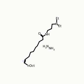 CCCCCCCC/C=C\CCCCCCCC(=O)NCCCN(CC)CC.N.N